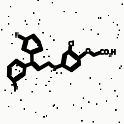 O=C(O)COc1ccc(SCC=C(c2cccc(F)c2)c2cccc(F)c2)cc1Cl